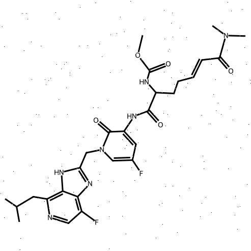 COC(=O)NC(CC/C=C/C(=O)N(C)C)C(=O)Nc1cc(F)cn(Cc2nc3c(F)cnc(CC(C)C)c3[nH]2)c1=O